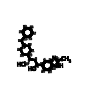 Cc1nc2cc(C(O)CCC3CCN(Cc4ccccc4)CC3)ccc2[nH]1.Cl